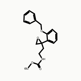 CC(C)(C)OC(=O)NCCC1(c2ccccc2OCc2ccccc2)CO1